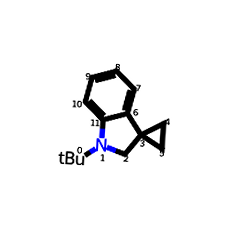 CC(C)(C)N1CC2(CC2)c2ccccc21